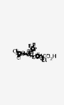 CCOC(Cc1ccc(OCCN(CCCOc2cc(Cl)cc(Cl)c2)C(=O)Oc2ccc(F)c(F)c2)cc1)C(=O)O